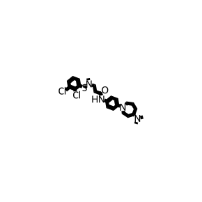 CN(CCC(=O)Nc1ccc(N2CCCC(N(C)C)CC2)cc1)Sc1cccc(Cl)c1Cl